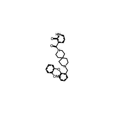 COc1ccccc1Oc1ccccc1CN1CCC2(CC1)CCN(C(=O)c1ccc[nH]c1=O)CC2